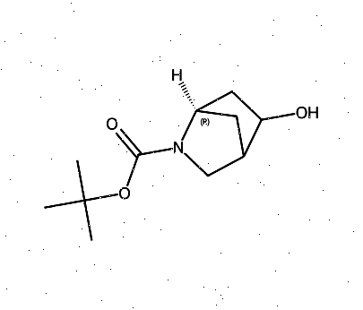 CC(C)(C)OC(=O)N1CC2C[C@@H]1CC2O